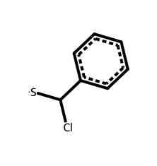 [S]C(Cl)c1ccccc1